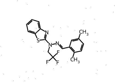 Cc1ccc(C)c(/C=N/N(CC(F)(F)F)c2nc3ccccc3s2)c1